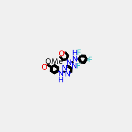 COC(=O)c1ccc(Nc2ncc3nc(Nc4c(F)cc(F)cc4F)n(C4CCOCC4)c3n2)cc1